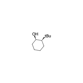 CC(C)(C)[C@H]1CCCC[C@H]1O